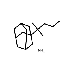 CCCC(C)(C)C12CC3CC(CC(C3)C1)C2.N